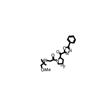 COCC(C)(C)NCC(=O)N1C[C@@H](F)CC1C(=O)c1nnc(-c2ccccc2)o1